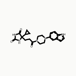 O=C1NC(=O)C(CCC(=O)N2CCN(c3ccc4[nH]ccc4c3)CC2)(C2CC2)N1